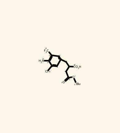 CC(C)(C)OC(=O)CC(Cc1cc(Cl)c(N)c(C(F)(F)F)c1)C(=O)O